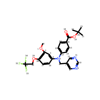 COc1cc(N(Cc2cncnc2)c2ccc(C(=O)OC(C)(C)C)cc2)ccc1OCC(F)(F)F